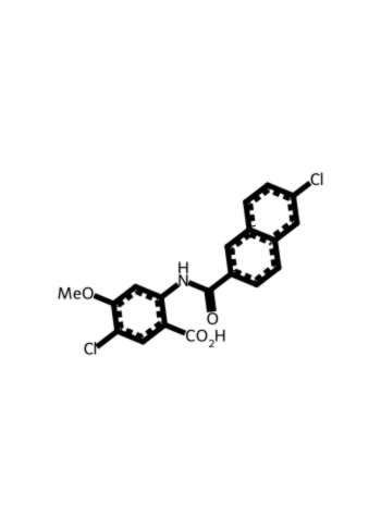 COc1cc(NC(=O)c2ccc3cc(Cl)ccc3c2)c(C(=O)O)cc1Cl